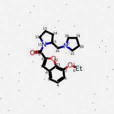 CCOc1cccc2cc(C(=O)N3CCCC3CN3CCCC3)oc12